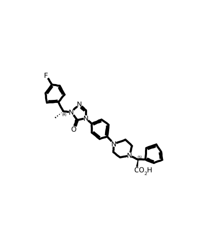 C[C@H](c1ccc(F)cc1)n1ncn(-c2ccc(N3CCN([C@H](C(=O)O)c4ccccc4)CC3)cc2)c1=O